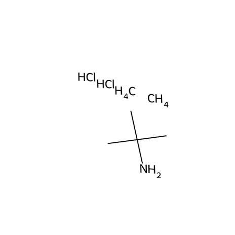 C.C.CC(C)(C)N.Cl.Cl